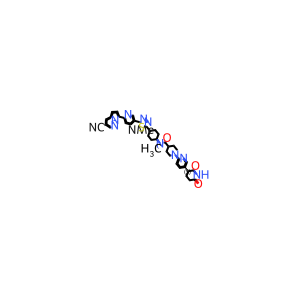 CNc1cc(-c2ccc3cc(C#N)cnn23)ncc1-c1nnc(C2CCC(N(C)C(=O)C3CCN(c4ccc([C@@H]5CCC(=O)NC5=O)cn4)CC3)CC2)s1